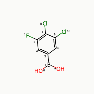 OB(O)c1cc(F)c(Cl)c(Cl)c1